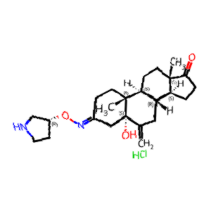 C=C1C[C@H]2[C@@H]3CCC(=O)[C@@]3(C)CC[C@@H]2[C@@]2(C)CCC(=NO[C@@H]3CCNC3)C[C@]12O.Cl